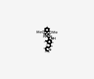 COc1cccc(OC)c1S(=O)(=O)Nc1n[nH]c2cc(Cc3ccccn3)cc(C)c12